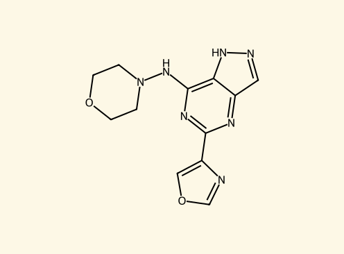 c1nc(-c2nc(NN3CCOCC3)c3[nH]ncc3n2)co1